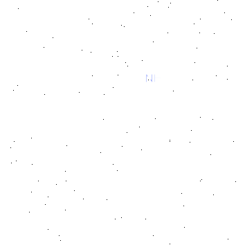 c1ccc(Nc2ccc(-c3cccc(-c4ccccc4)c3)cc2)cc1